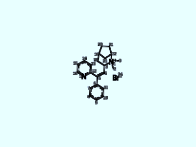 C[N+]1(C)C(C=C(c2ccccc2)c2ccccn2)CC2CCC1C2.[Br-]